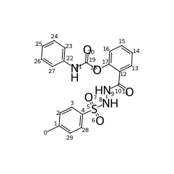 Cc1ccc(S(=O)(=O)NNC(=O)c2ccccc2OC(=O)Nc2ccccc2)cc1